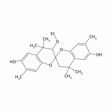 CCOC1C2(CC(C)(C)c3cc(O)c(C)cc3O2)Oc2cc(C)c(O)cc2C1(C)C